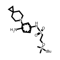 CC(C)(C)[Si](C)(C)OCCS(=O)(=O)Nc1ccc(N)c(N2CCC3(CC2)CC3)c1